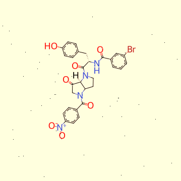 O=C(N[C@@H](Cc1ccc(O)cc1)C(=O)N1CCC2[C@H]1C(=O)CN2C(=O)c1ccc([N+](=O)[O-])cc1)c1cccc(Br)c1